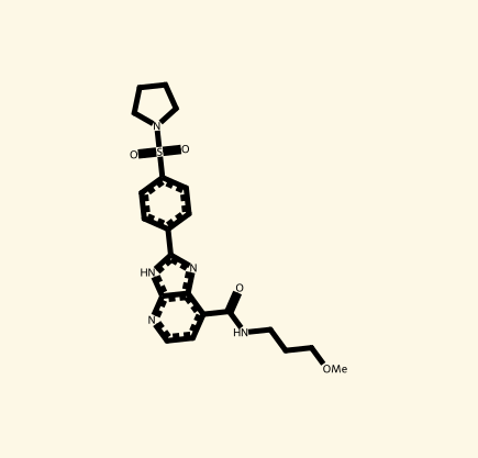 COCCCNC(=O)c1ccnc2[nH]c(-c3ccc(S(=O)(=O)N4CCCC4)cc3)nc12